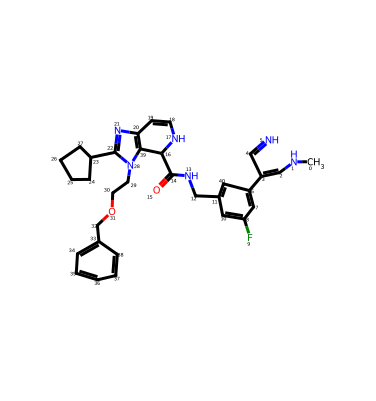 CN/C=C(\C=N)c1cc(F)cc(CNC(=O)C2NC=Cc3nc(C4CCCC4)n(CCOCc4ccccc4)c32)c1